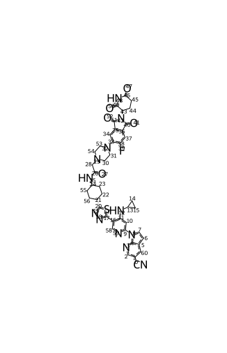 N#Cc1cnc2c(ccn2-c2cc(NC3CC3)c(-c3nnc([C@H]4CC[C@H](NC(=O)CN5CCN(c6cc7c(cc6F)C(=O)N(C6CCC(=O)NC6=O)C7=O)CC5)CC4)s3)cn2)c1